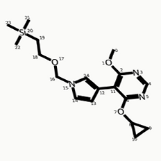 COc1ncnc(OC2CC2)c1-c1ccn(COCC[Si](C)(C)C)c1